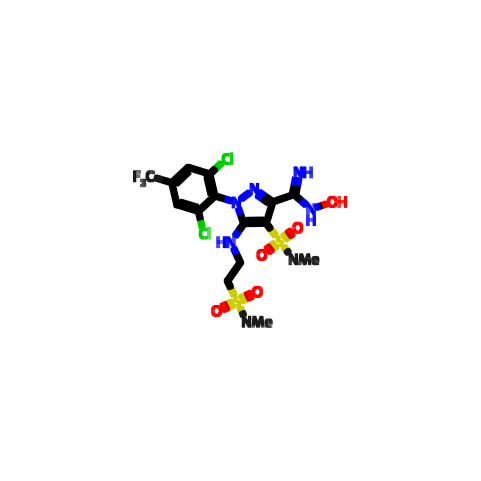 CNS(=O)(=O)CCNc1c(S(=O)(=O)NC)c(C(=N)NO)nn1-c1c(Cl)cc(C(F)(F)F)cc1Cl